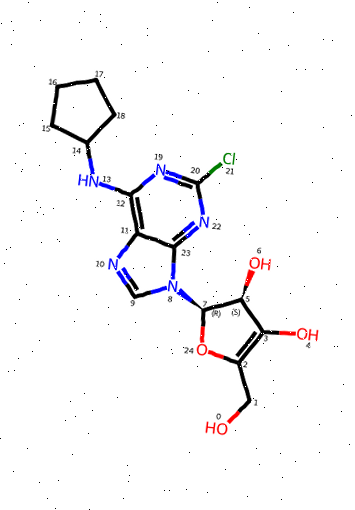 OCC1=C(O)[C@H](O)[C@H](n2cnc3c(NC4CCCC4)nc(Cl)nc32)O1